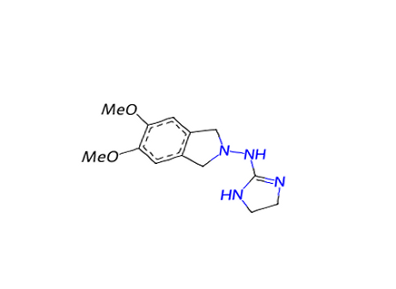 COc1cc2c(cc1OC)CN(NC1=NCCN1)C2